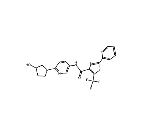 O=C(Nc1ccc(N2CCC(O)C2)nc1)c1nc(-c2ccccc2)oc1C(F)(F)F